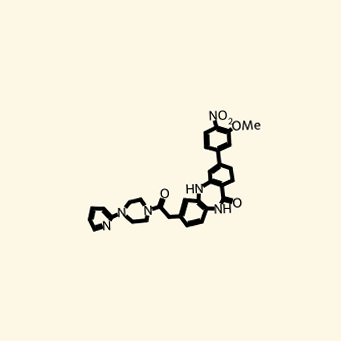 COc1cc(C2=CC3=C(CC2)C(=O)Nc2ccc(CC(=O)N4CCN(c5ccccn5)CC4)cc2N3)ccc1[N+](=O)[O-]